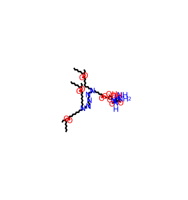 CCCCCCC(CC)OC(=O)CCCCCCCCN(CCCCCCCCC(=O)OC(CC)CCCCCC)CCN(C)CCN(C)CCN(C)CCN(CCCCCCCCC(=O)OC(CC)CCCCCC)CCCCCC(=O)OC[C@@H]1O[C@H](n2c(=O)[nH]c3c(=O)[nH]c(N)nc32)[C@H](O)[C@@H]1O